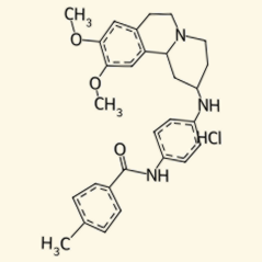 COc1cc2c(cc1OC)C1CC(Nc3ccc(NC(=O)c4ccc(C)cc4)cc3)CCN1CC2.Cl